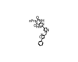 CCCn1c(=O)[nH]c2nc(-c3cnn(Cc4cc(-c5ccccc5)on4)c3)[nH]c2c1=O